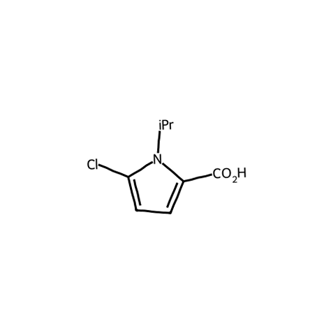 CC(C)n1c(Cl)ccc1C(=O)O